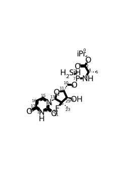 CC(C)OC(=O)[C@H](C)N[PH](=[SiH2])OC[C@H]1O[C@@H](n2ccc(=O)[nH]c2=O)[C@](C)(F)[C@@H]1O